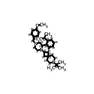 COc1ccc(CN2CCN(C3CC4(CCN(C(C)(C)C)CC4)C3)C(c3c(F)cccc3C(C)C)C2)cc1